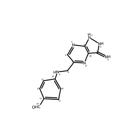 N=c1[nH][nH]c2ncc(CNc3ccc(C=O)cc3)nc12